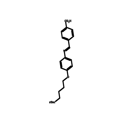 CCCCCCCCCCCCCCOc1ccc(N=Cc2ccc(C(=O)O)cc2)cc1